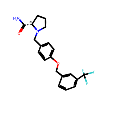 NC(=O)[C@@H]1CCCN1Cc1ccc(OCc2cccc(C(F)(F)F)c2)cc1